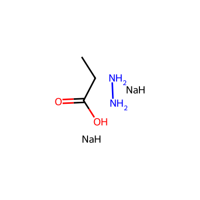 CCC(=O)O.NN.[NaH].[NaH]